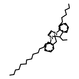 CCCCCCCCCCCCCCN1C=CN(CCCCCCCC)C1(Cc1ccccc1)C(CC)c1ccccc1